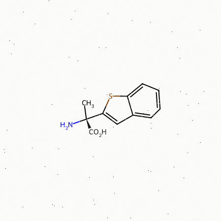 C[C@](N)(C(=O)O)c1cc2ccccc2s1